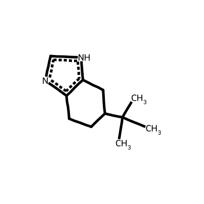 CC(C)(C)C1CCc2nc[nH]c2C1